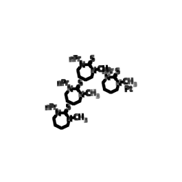 CCCN1CCCCN(C)C1=S.CCCN1CCCCN(C)C1=S.CCCN1CCCCN(C)C1=S.CCCN1CCCCN(C)C1=S.[Pt]